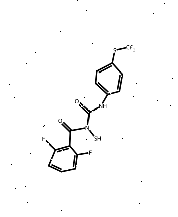 O=C(Nc1ccc(SC(F)(F)F)cc1)N(S)C(=O)c1c(F)cccc1F